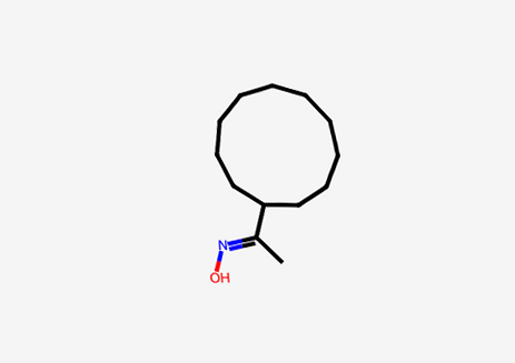 C/C(=N\O)C1CCCCCCCCCC1